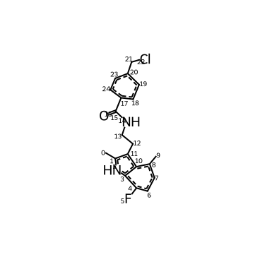 Cc1[nH]c2c(F)ccc(C)c2c1CCNC(=O)c1ccc(CCl)cc1